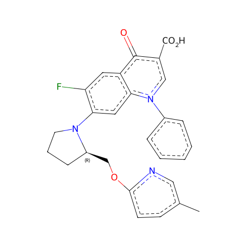 Cc1ccc(OC[C@H]2CCCN2c2cc3c(cc2F)c(=O)c(C(=O)O)cn3-c2ccccc2)nc1